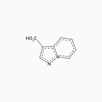 O=C(O)c1cnn2cc[c]cc12